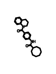 O=C(Nc1ccc(C(=O)N2CCCc3ccccc32)cc1)C1CCCCCCC1